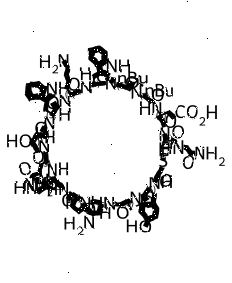 CCCC[C@H]1C(=O)N(C)[C@@H](CCCC)C(=O)N[C@@H](CCC(=O)O)C(=O)N[C@H](C(=O)NCC(N)=O)CSCC(=O)N[C@@H](Cc2ccc(O)cc2)C(=O)N(C)[C@@H](C)C(=O)N[C@H]2CC(N)=C3CC[C@@H](C(=O)N[C@@H](Cc4c[nH]cn4)C(=O)N[C@@H](CCC(N)=O)C(=O)N4C[C@H](O)C[C@H]4C(=O)N[C@@H](Cc4c[nH]c5ccccc45)C(=O)N[C@@H](CCCCN)C(=O)N[C@@H](Cc4c[nH]c5ccccc45)C(=O)N1C)N3C2=O